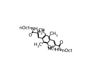 CCCCCCCCNC(=O)C(C#N)=Cc1c(C)c(C)c(C=C(C#N)C(=O)NCCCCCCCC)c(C)c1C